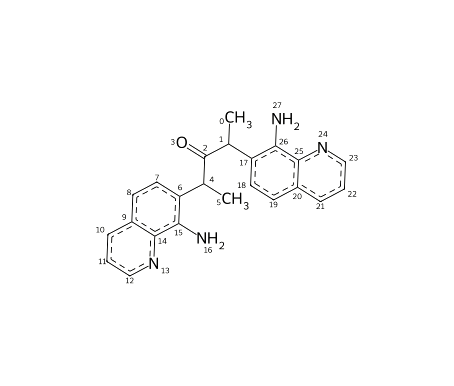 CC(C(=O)C(C)c1ccc2cccnc2c1N)c1ccc2cccnc2c1N